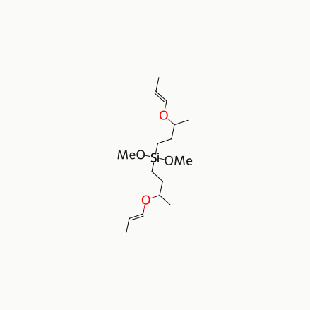 CC=COC(C)CC[Si](CCC(C)OC=CC)(OC)OC